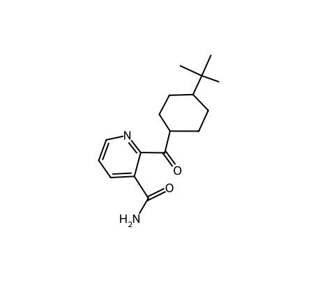 CC(C)(C)C1CCC(C(=O)c2ncccc2C(N)=O)CC1